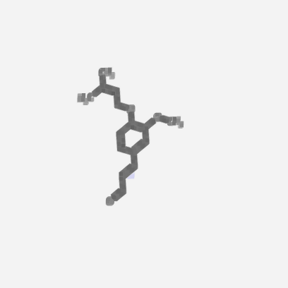 COc1cc(/C=C/C=O)ccc1OCC=C(C)C